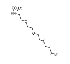 CCOCCOCCOCCOCCNC(=O)OCC